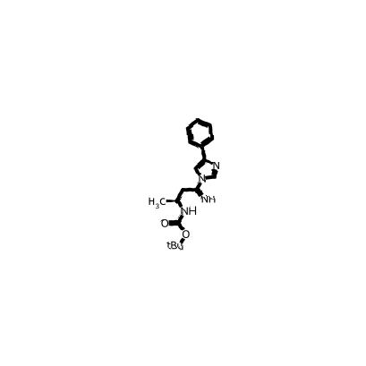 C[C@@H](CC(=N)n1cnc(-c2ccccc2)c1)NC(=O)OC(C)(C)C